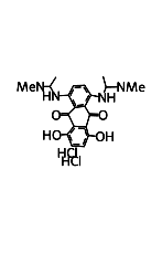 CNC(C)Nc1ccc(NC(C)NC)c2c1C(=O)c1c(O)ccc(O)c1C2=O.Cl.Cl